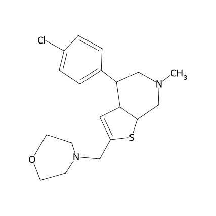 CN1CC2SC(CN3CCOCC3)=CC2C(c2ccc(Cl)cc2)C1